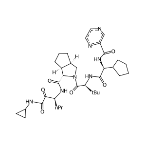 CCC[C@H](NC(=O)[C@@H]1[C@H]2CCC[C@H]2CN1C(=O)[C@@H](NC(=O)[C@@H](NC(=O)c1cnccn1)C1CCCC1)C(C)(C)C)C(=O)C(=O)NC1CC1